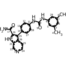 Cc1cc(C)cc(NC(=O)Nc2ccc(-c3c(C(N)=O)[nH]c4cnccc34)cc2)c1